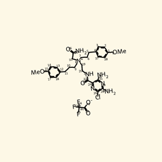 COc1ccc(CCC[N+](CCCc2ccc(OC)cc2)(CCNC(=O)c2nc(Cl)c(N)nc2N)CC(N)=O)cc1.O=C([O-])C(F)(F)F